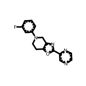 Fc1cccc(N2CCc3oc(-c4cnccn4)nc3C2)c1